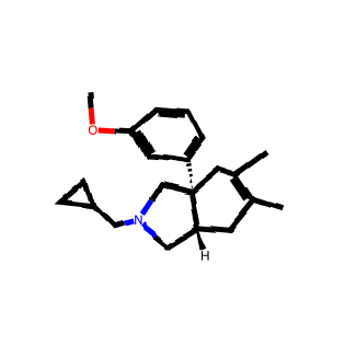 COc1cccc([C@]23CC(C)=C(C)C[C@@H]2CN(CC2CC2)C3)c1